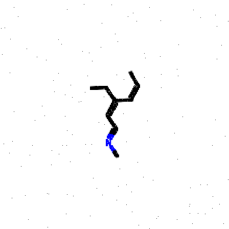 C\C=C/C(=C\C=N\C)CC